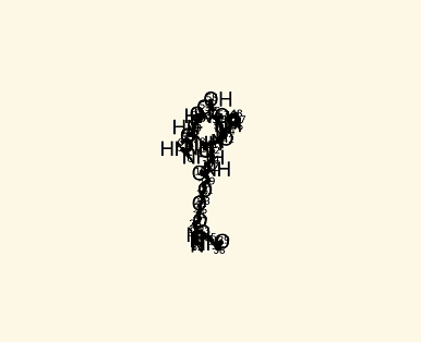 CCC(NC(=N)N)[C@@H]1NC(=O)[C@H](CCCCNC(=O)CCOCCOCCOCC(N=[N+]=[N-])OCCNC(C)=O)NC(=O)N(Cc2ccccc2)NC(=O)[C@H](CC(=O)O)NC(=O)CNC1=O